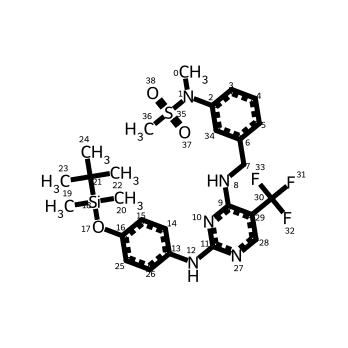 CN(c1cccc(CNc2nc(Nc3ccc(O[Si](C)(C)C(C)(C)C)cc3)ncc2C(F)(F)F)c1)S(C)(=O)=O